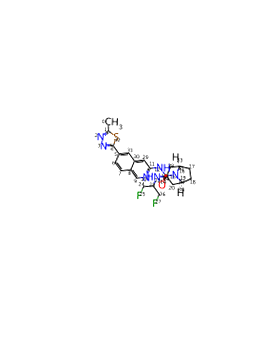 Cc1nnc(-c2ccc3cnc(NC(=O)N4[C@@H]5CC[C@H]4C[C@@H](NC(CF)CF)C5)cc3c2)s1